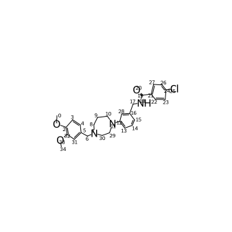 COc1ccc(CN2CCCN(c3cccc(CNC(=O)c4ccc(Cl)cc4)c3)CC2)cc1OC